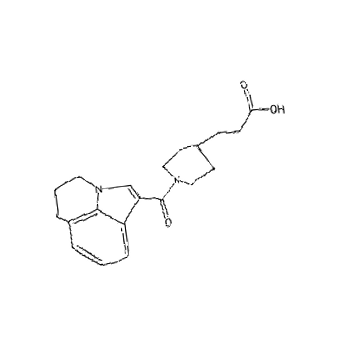 O=C(O)CCC1CCN(C(=O)c2cn3c4c(cccc24)CCC3)CC1